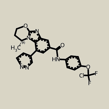 C[C@@H]1CCOc2nc3cc(C(=O)Nc4ccc(OC(F)(F)Cl)cc4)cc(-c4ccnnc4)c3n21